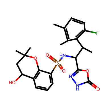 Cc1ccc(F)c(C(C)C(NS(=O)(=O)c2cccc3c2OC(C)(C)CC3O)c2n[nH]c(=O)o2)c1C